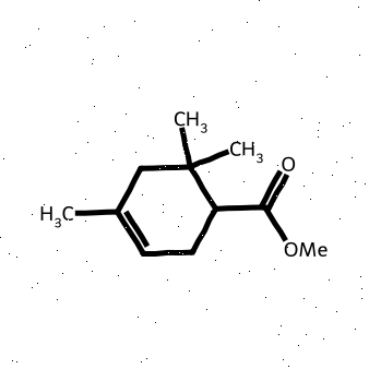 COC(=O)C1CC=C(C)CC1(C)C